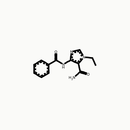 CCn1cnc(NC(=O)c2ccccc2)c1C(N)=O